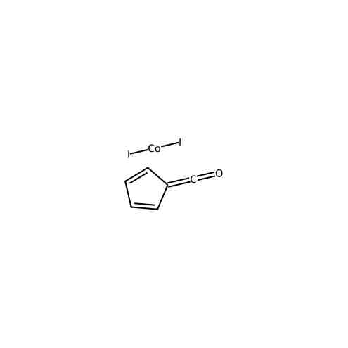 O=C=C1C=CC=C1.[I][Co][I]